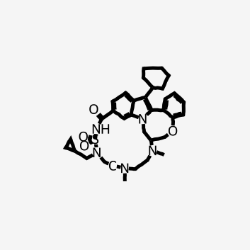 CN1CCN(C)C2COc3ccccc3-c3c(C4CCCCC4)c4ccc(cc4n3C2)C(=O)NS(=O)(=O)N(CC2CC2)CC1